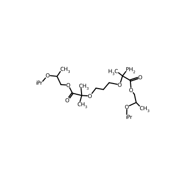 CC(C)OC(C)COC(=O)C(C)(C)OCCCOC(C)(P)C(=O)OCC(C)OC(C)C